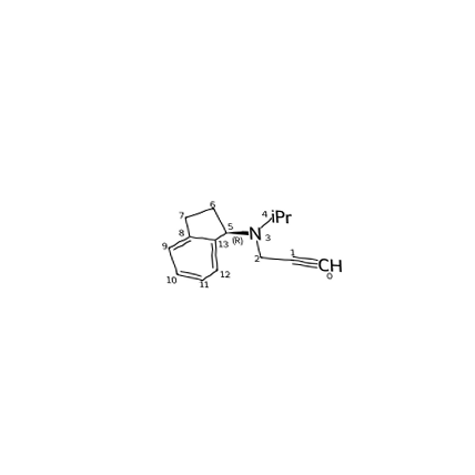 C#CCN(C(C)C)[C@@H]1CCc2ccccc21